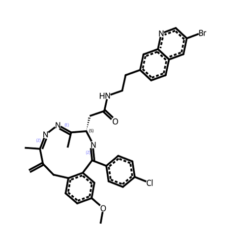 C=C1Cc2ccc(OC)cc2/C(c2ccc(Cl)cc2)=N\[C@@H](CC(=O)NCCc2ccc3cc(Br)cnc3c2)/C(C)=N/N=C\1C